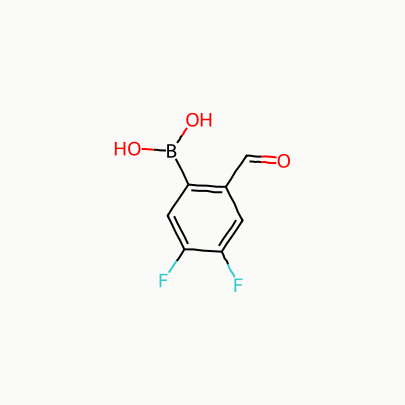 O=Cc1cc(F)c(F)cc1B(O)O